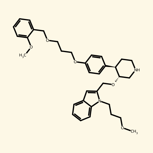 COCCCn1c(CO[C@H]2CNCC[C@@H]2c2ccc(OCCCOCc3ccccc3OC)cc2)cc2ccccc21